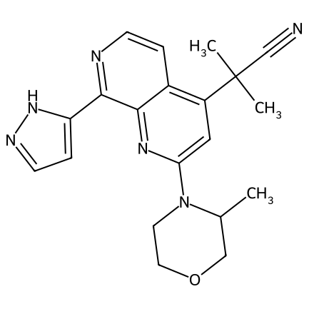 CC1COCCN1c1cc(C(C)(C)C#N)c2ccnc(-c3ccn[nH]3)c2n1